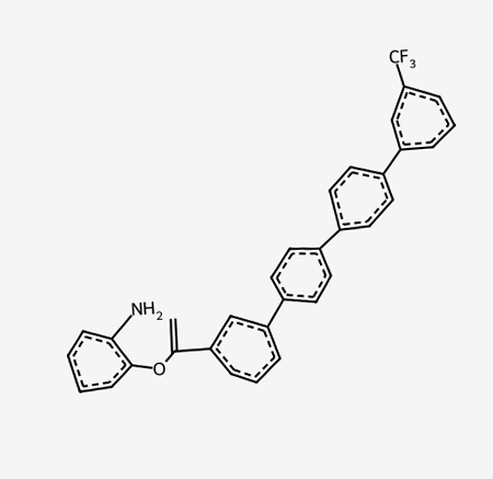 C=C(Oc1ccccc1N)c1cccc(-c2ccc(-c3ccc(-c4cccc(C(F)(F)F)c4)cc3)cc2)c1